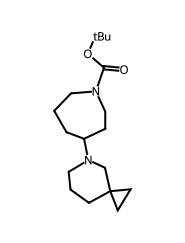 CC(C)(C)OC(=O)N1CCCC(N2CCCC3(CC3)C2)CC1